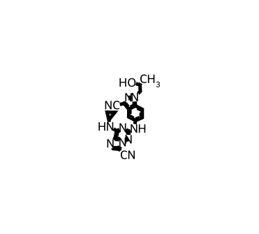 CC(O)Cn1nc(C#N)c2cc(Nc3nc(NC4CC4)c4ncc(C#N)n4n3)ccc21